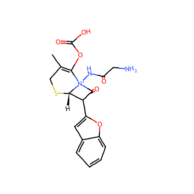 CC1=C(OC(=O)O)[N+]2(NC(=O)CN)C(=O)C(c3cc4ccccc4o3)[C@@H]2SC1